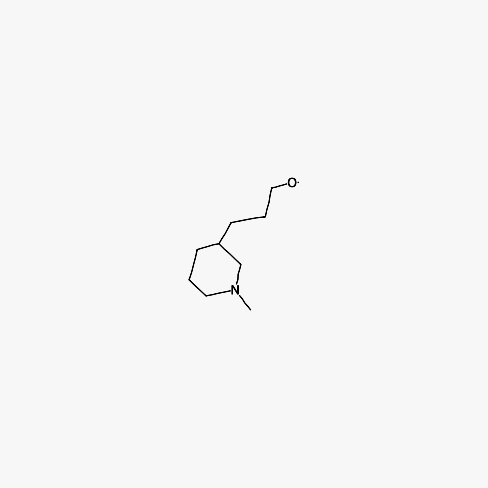 CN1CCCC(CCC[O])C1